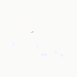 Cc1cc(Nc2nc(C[C@](C)(CCN(Cc3cccc(Cl)c3F)C(C)C)C(=O)OC(C)(C)C)c(F)c(Cl)c2Cl)nn1C(C)(C)C